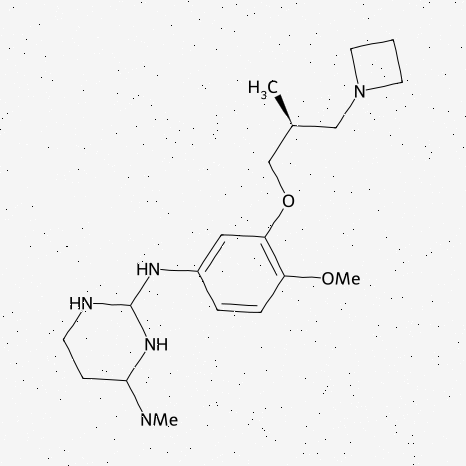 CNC1CCNC(Nc2ccc(OC)c(OC[C@@H](C)CN3CCC3)c2)N1